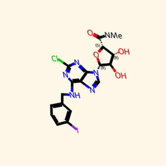 CNC(=O)[C@H]1O[C@@H](n2cnc3c(NCc4cccc(I)c4)nc(Cl)nc32)C(O)[C@H]1O